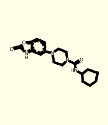 O=C(NC1CCCCC1)N1CCN(c2ccc3oc(=O)[nH]c3c2)CC1